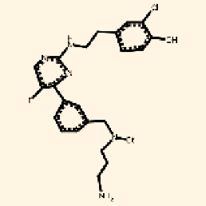 CCN(CCCN)Cc1cccc(-c2nc(NCCc3ccc(O)c(Cl)c3)ncc2F)c1